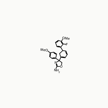 COc1ccc(C2(C3=CC=CC(c4cccc(OC)c4F)C3)COC(N)=N2)cc1